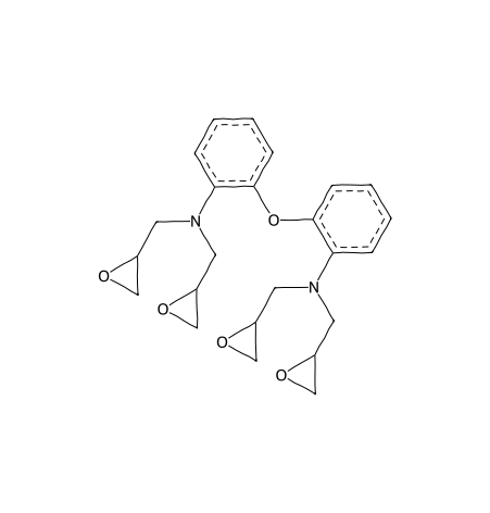 c1ccc(N(CC2CO2)CC2CO2)c(Oc2ccccc2N(CC2CO2)CC2CO2)c1